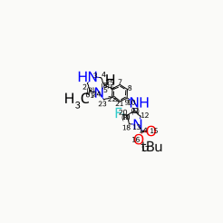 C[C@@H]1CNC[C@@H]2c3ccc(N[C@H]4CN(C(=O)OC(C)(C)C)C[C@H]4F)cc3CN12